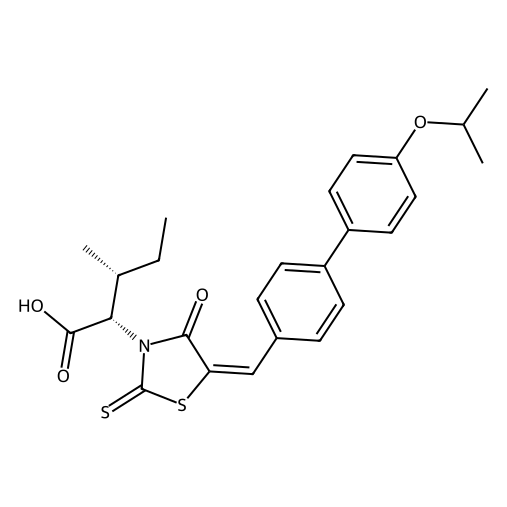 CC[C@@H](C)[C@@H](C(=O)O)N1C(=O)/C(=C\c2ccc(-c3ccc(OC(C)C)cc3)cc2)SC1=S